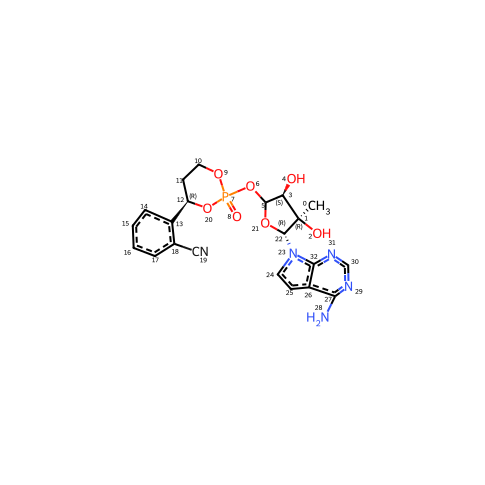 C[C@@]1(O)[C@H](O)C(OP2(=O)OCC[C@H](c3ccccc3C#N)O2)O[C@H]1n1ccc2c(N)ncnc21